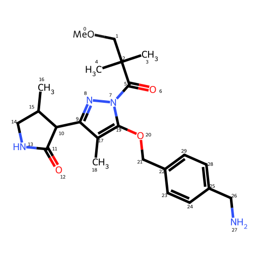 COCC(C)(C)C(=O)n1nc(C2C(=O)NCC2C)c(C)c1OCc1ccc(CN)cc1